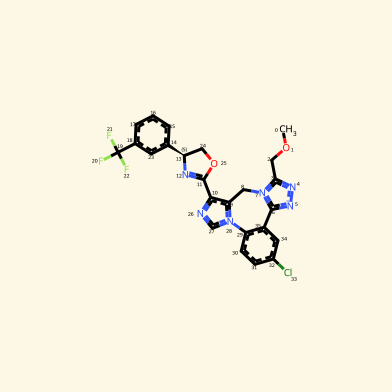 COCc1nnc2n1Cc1c(C3=N[C@@H](c4cccc(C(F)(F)F)c4)CO3)ncn1-c1ccc(Cl)cc1-2